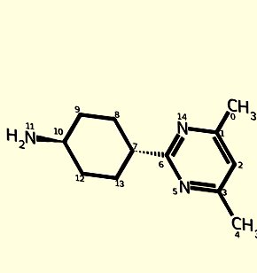 Cc1cc(C)nc([C@H]2CC[C@H](N)CC2)n1